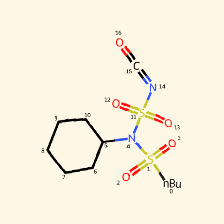 CCCCS(=O)(=O)N(C1CCCCC1)S(=O)(=O)N=C=O